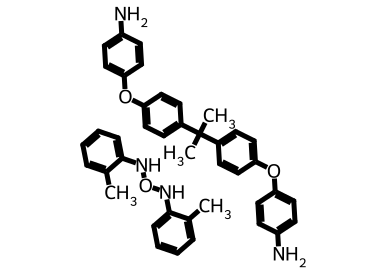 CC(C)(c1ccc(Oc2ccc(N)cc2)cc1)c1ccc(Oc2ccc(N)cc2)cc1.Cc1ccccc1NONc1ccccc1C